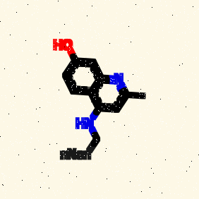 CCCCCCCCCCNc1cc(C)nc2cc(O)ccc12